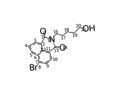 O=C1c2cccc3c(Br)ccc(c23)C(=O)N1CCCCCO